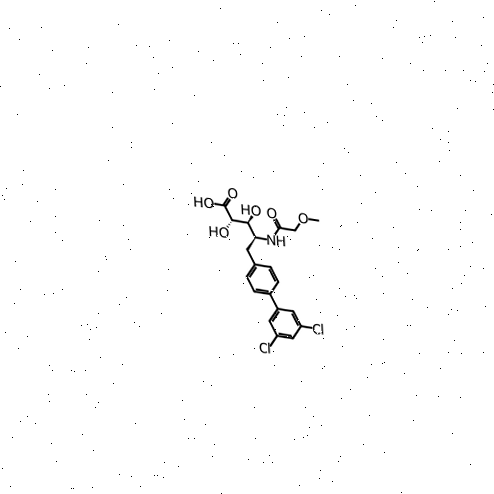 COCC(=O)N[C@@H](Cc1ccc(-c2cc(Cl)cc(Cl)c2)cc1)[C@H](O)[C@H](O)C(=O)O